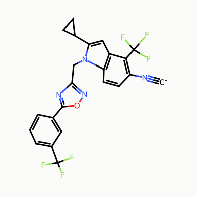 [C-]#[N+]c1ccc2c(cc(C3CC3)n2Cc2noc(-c3cccc(C(F)(F)F)c3)n2)c1C(F)(F)F